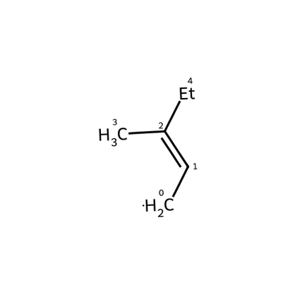 [CH2]C=C(C)C[CH2]